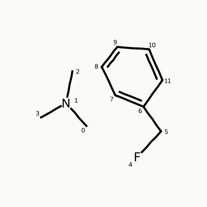 CN(C)C.FCc1ccccc1